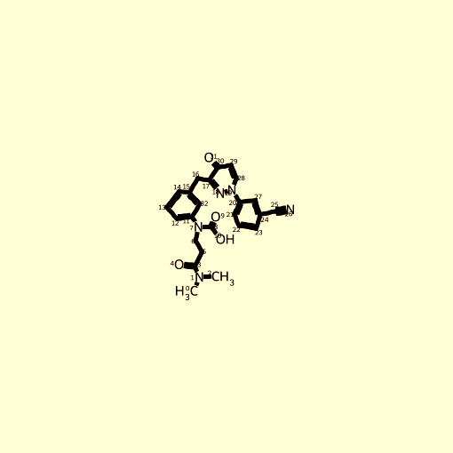 CN(C)C(=O)CCN(C(=O)O)c1cccc(Cc2nn(-c3cccc(C#N)c3)ccc2=O)c1